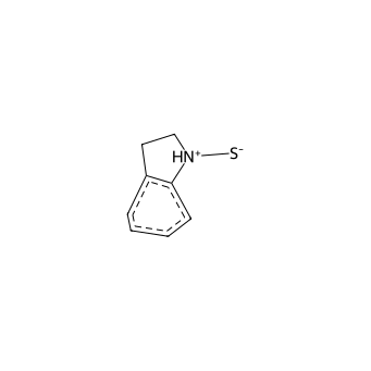 [S-][NH+]1CCc2ccccc21